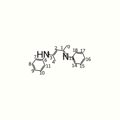 CC(/C=C(\C)Nc1ccccc1)=Nc1ccccc1